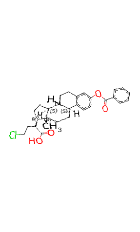 C[C@]12CC[C@@H]3c4ccc(OC(=O)c5ccccc5)cc4CC[C@H]3[C@@H]1CC[C@@H]2C(CCCl)C(=O)O